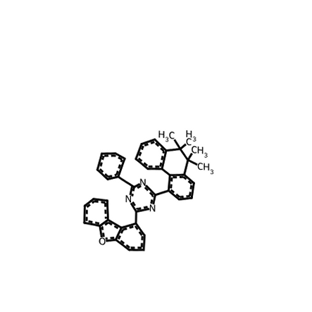 CC1(C)c2ccccc2-c2c(-c3nc(-c4ccccc4)nc(-c4cccc5oc6ccccc6c45)n3)cccc2C1(C)C